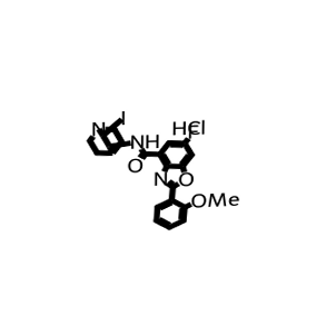 COc1ccccc1-c1nc2c(C(=O)NC3C4CCN(CC4)C3I)cc(F)cc2o1.Cl